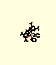 CCC[CH2][Zr]([CH2]CCC)([CH]1C(CC)=Cc2c(C(C)C)cc(C(C)C)cc21)([CH]1C(CC)=Cc2c(C(C)C)cc(C(C)C)cc21)[SiH](c1ccccc1)c1ccccc1